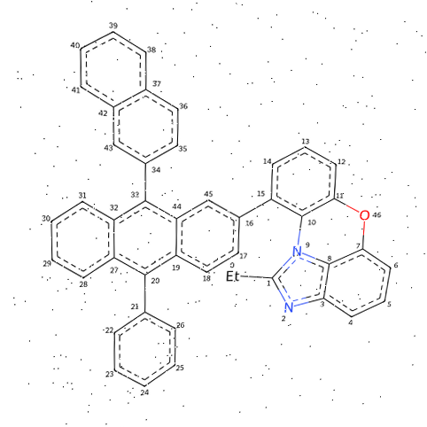 CCc1nc2cccc3c2n1-c1c(cccc1-c1ccc2c(-c4ccccc4)c4ccccc4c(-c4ccc5ccccc5c4)c2c1)O3